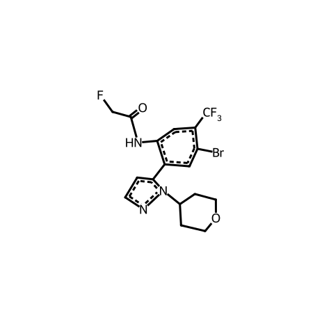 O=C(CF)Nc1cc(C(F)(F)F)c(Br)cc1-c1ccnn1C1CCOCC1